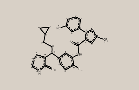 N#Cc1cccc(-n2nc(C(F)(F)F)cc2C(=O)Nc2cc(C(CCC3CC3)c3ncc[nH]c3=O)ccc2F)c1